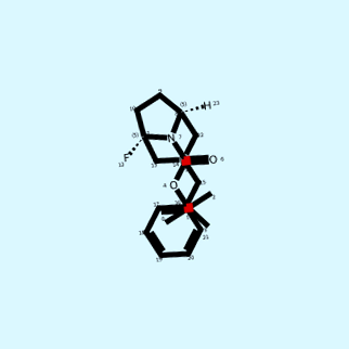 CC(C)(C)OC(=O)N1[C@H]2CC[C@]1(F)CN(Cc1ccccc1)C2